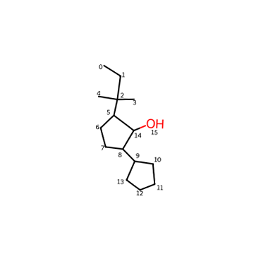 CCC(C)(C)C1CCC(C2CCCC2)C1O